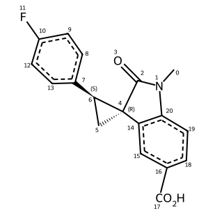 CN1C(=O)[C@@]2(C[C@H]2c2ccc(F)cc2)c2cc(C(=O)O)ccc21